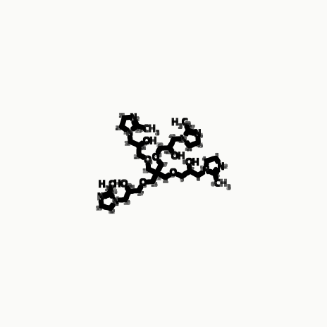 CC1=NCCN1CC(O)COCC(COCC(O)CN1CCN=C1C)(COCC(O)CN1CCN=C1C)COCC(O)CN1CCN=C1C